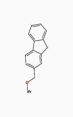 CC(C)OCc1ccc2c(c1)Cc1ccccc1-2